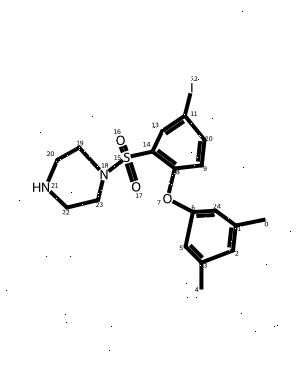 Cc1cc(C)cc(Oc2ccc(I)cc2S(=O)(=O)N2CCNCC2)c1